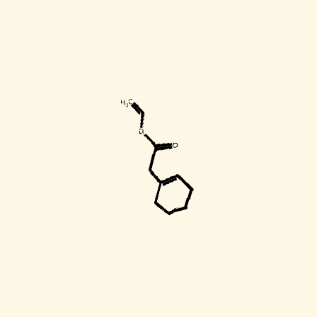 C=COC(=O)CC1=CCCCC1